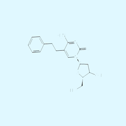 Nc1nc(=O)n([C@H]2CC(O)[C@@H](CO)O2)cc1CCc1ccccc1